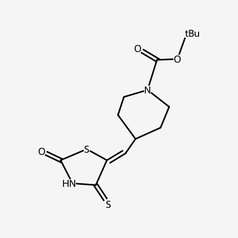 CC(C)(C)OC(=O)N1CCC(/C=C2\SC(=O)NC2=S)CC1